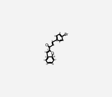 O=C(C=Cc1ccc(Br)cc1)c1cc2ccccc2o1